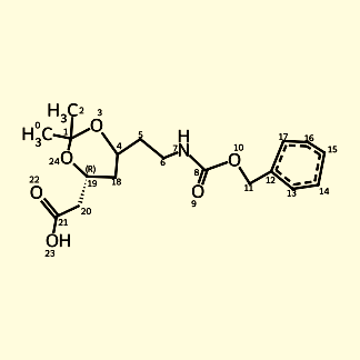 CC1(C)OC(CCNC(=O)OCc2ccccc2)C[C@H](CC(=O)O)O1